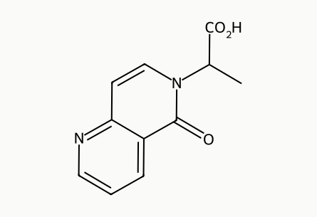 CC(C(=O)O)n1ccc2ncccc2c1=O